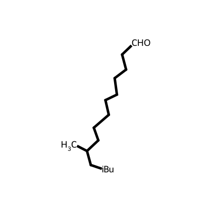 CCC(C)CC(C)CCCCCCCCC=O